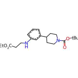 CCOC(=O)CCNc1cccc(C2CCN(C(=O)OC(C)(C)C)CC2)c1